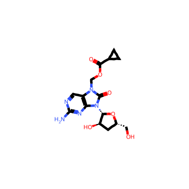 Nc1ncc2c(n1)n([C@@H]1O[C@H](CO)C[C@H]1O)c(=O)n2COC(=O)C1CC1